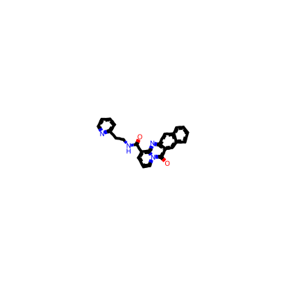 O=C(NCCc1ccccn1)c1cccn2c(=O)c3cc4ccccc4cc3nc12